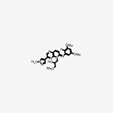 COCC(O)Cn1/c(=N/c2cc(OC)cc(OC)c2F)ccc2ncc(-c3cnn(C)c3)nc21